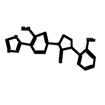 COc1cc(N2CCC(c3ccccc3OC)C2=O)ccc1-c1cnco1